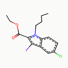 CCCCn1c(C(=O)OCC)c(I)c2cc(Cl)ccc21